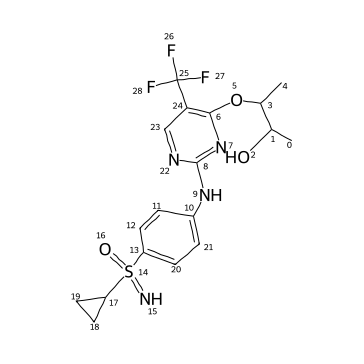 CC(O)C(C)Oc1nc(Nc2ccc(S(=N)(=O)C3CC3)cc2)ncc1C(F)(F)F